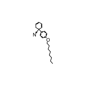 CCCCCCCCOc1ccc(C2(C#N)C=CC=CC2)cc1